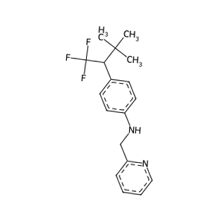 CC(C)(C)C(c1ccc(NCc2ccccn2)cc1)C(F)(F)F